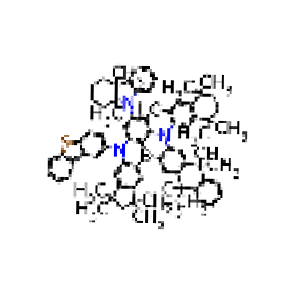 Cc1cc2c(cc1N1c3cc4c(cc3B3c5cc6c(cc5N(c5ccc7sc8ccccc8c7c5)c5cc(N7c8ccccc8C8(C)CCCCC78C)cc1c53)C(C)(C)CC6(C)C)C(C)(C)c1ccccc1C4(C)C)C(C)(C)CCC2(C)C